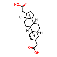 C[C@]12CC[C@@H]3[C@H]4C=CC(CC(=O)O)C[C@@H]4CC[C@H]3[C@@H]1CC[C@@H]2CC(=O)O